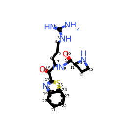 N=C(N)NCCCC(NC(=O)[C@@H]1CCN1)C(=O)c1nc2ccccc2s1